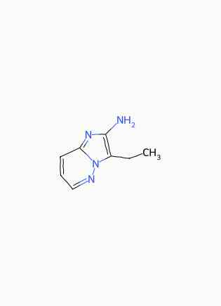 CCc1c(N)nc2cccnn12